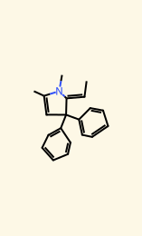 CC=C1N(C)C(C)=CC1(c1ccccc1)c1ccccc1